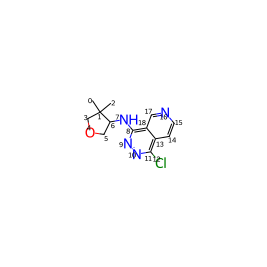 CC1(C)COCC1Nc1nnc(Cl)c2ccncc12